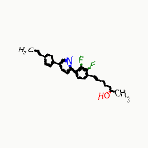 C=CCc1ccc(-c2ccc(-c3ccc(C=CCCCC(C)O)c(F)c3F)nc2)cc1